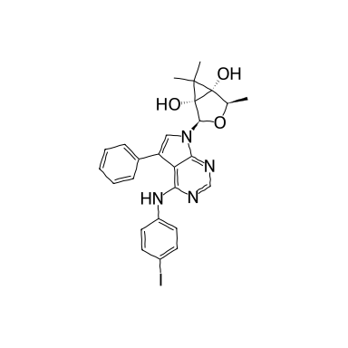 C[C@H]1O[C@@H](n2cc(-c3ccccc3)c3c(Nc4ccc(I)cc4)ncnc32)[C@@]2(O)C(C)(C)[C@@]12O